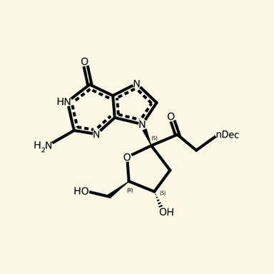 CCCCCCCCCCCC(=O)[C@]1(n2cnc3c(=O)[nH]c(N)nc32)C[C@H](O)[C@@H](CO)O1